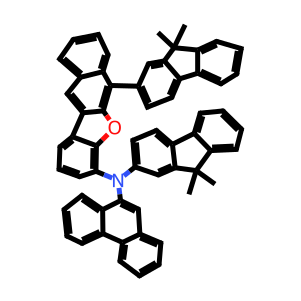 CC1(C)c2ccccc2-c2ccc(-c3c4ccccc4cc4c3oc3c(N(c5ccc6c(c5)C(C)(C)c5ccccc5-6)c5cc6ccccc6c6ccccc56)cccc34)cc21